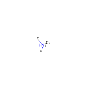 CNC.[Cs+]